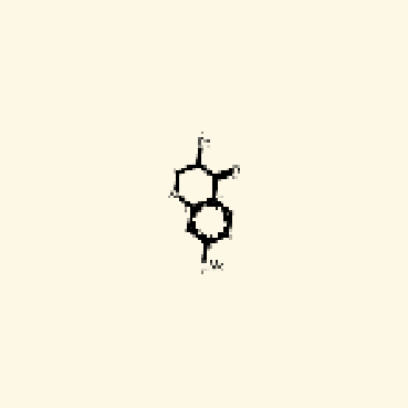 CCC1COc2cc(OC)ccc2C1=O